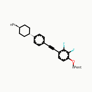 CCCCCOc1ccc(C#Cc2ccc([C@H]3CC[C@H](CCC)CC3)cc2)c(F)c1F